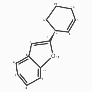 C1=C[C@@H](c2cc3ccccc3o2)CCC1